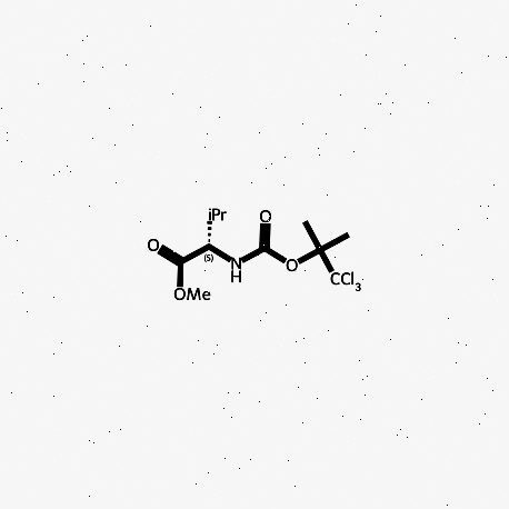 COC(=O)[C@@H](NC(=O)OC(C)(C)C(Cl)(Cl)Cl)C(C)C